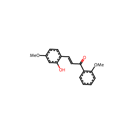 COc1ccc(C=CC(=O)c2ccccc2OC)c(O)c1